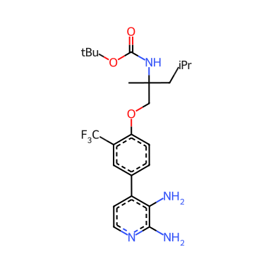 CC(C)CC(C)(COc1ccc(-c2ccnc(N)c2N)cc1C(F)(F)F)NC(=O)OC(C)(C)C